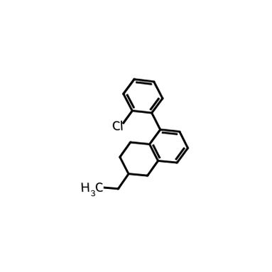 CCC1CCc2c(cccc2-c2ccccc2Cl)C1